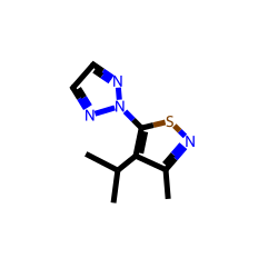 Cc1nsc(-n2nccn2)c1C(C)C